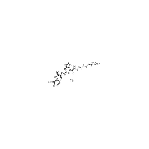 CCCCCCCCCCCCCCCCCNC(=O)OC[C@H](COC(=O)N(Cc1cccc[n+]1CC)C(C)=O)Oc1ccon1.[Cl-]